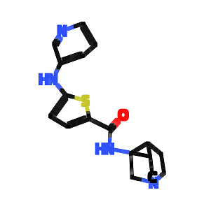 O=C(NC1CN2CCC1CC2)c1ccc(Nc2cccnc2)s1